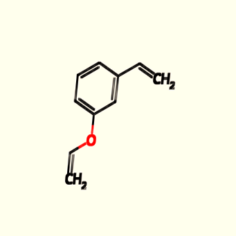 C=COc1cccc(C=C)c1